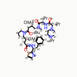 CC[C@H](C)[C@@H]([C@@H](CC(=O)N1CCC[C@H]1[C@H](OC)[C@@H](C)C(=O)N[C@@H](Cc1ccccc1)c1nccs1)OC)N(C)C(=O)[C@@H](NC(=O)[C@H](C(C)C)N(C)CCN(C)C(C)C)C(C)C